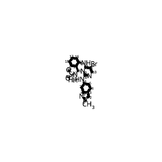 Cn1cc2ccc(Nc3ncc(Br)c(Nc4ccccc4CN[SH](=O)=O)n3)cc2n1